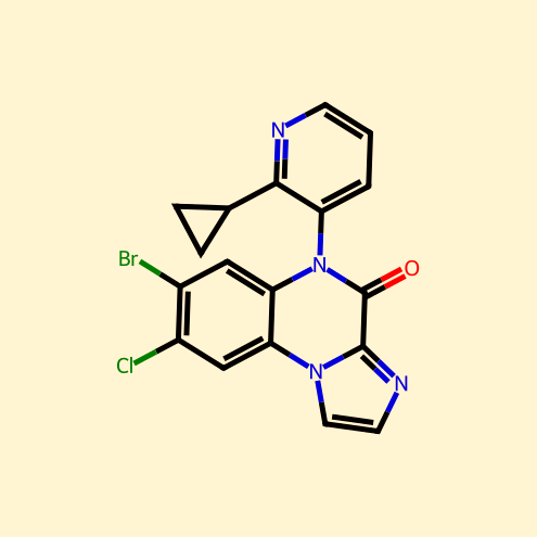 O=c1c2nccn2c2cc(Cl)c(Br)cc2n1-c1cccnc1C1CC1